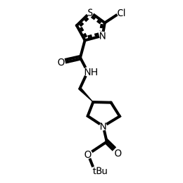 CC(C)(C)OC(=O)N1CC[C@H](CNC(=O)c2csc(Cl)n2)C1